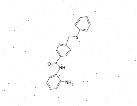 Nc1ccccc1NC(=O)c1ccc(CSc2ccccc2)cc1